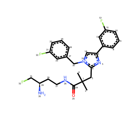 CC(C)([CH]c1nc(-c2cccc(F)c2)cn1Cc1cccc(F)c1)C(=O)NCC[C@@H](N)CF